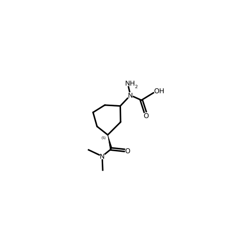 CN(C)C(=O)[C@H]1CCCC(N(N)C(=O)O)C1